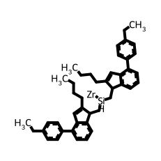 CCCCC1=Cc2c(-c3ccc(CC)cc3)cccc2C1C[SiH]([Zr])CC1C(CCCC)=Cc2c(-c3ccc(CC)cc3)cccc21